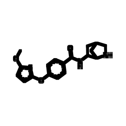 COc1ccc(Oc2ccc(C(=O)NC3CC4CNC3C4)cc2)s1